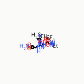 CCn1nnc([C@H]2O[C@@H](n3cnc4c(NCCc5ccc(S(N)(=O)=O)cc5)nc(N5CC[C@@H](N(C)C)C5)nc43)[C@H](O)[C@@H]2OC(=O)C(F)(F)F)n1